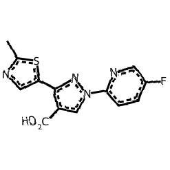 Cc1ncc(-c2nn(-c3ccc(F)cn3)cc2C(=O)O)s1